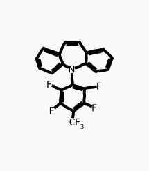 Fc1c(F)c(C(F)(F)F)c(F)c(F)c1N1c2ccccc2C=Cc2ccccc21